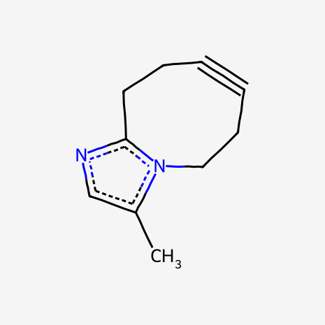 Cc1cnc2n1CCC#CCC2